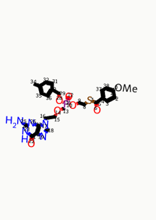 COc1ccc(C(=O)SCCOP(=O)(COCCn2cnc3c(=O)[nH]c(N)nc32)OCc2ccc(C)cc2)cc1